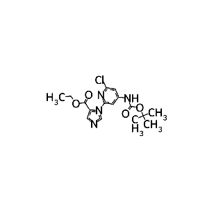 CCOC(=O)c1cncn1-c1cc(NC(=O)OC(C)(C)C)cc(Cl)n1